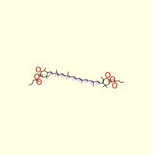 CCCC(=O)O[C@H]1CC(C)(C)C(/C=C/C(C)=C/C=C/C(C)=C/C=C/C=C(C)/C=C/C=C(C)/C=C/C2C(C)C(=O)[C@@H](OC(=O)CCC)CC2(C)C)=C(C)C1=O